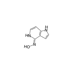 O/N=c1\[nH]ccc2[nH]ccc12